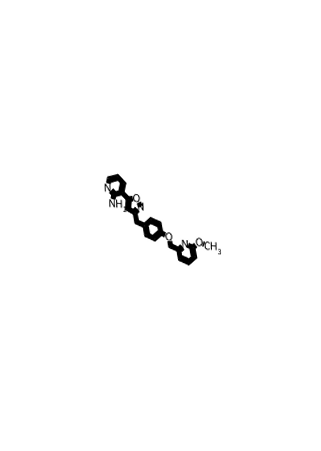 COc1cccc(COc2ccc(Cc3cc(-c4cccnc4N)on3)cc2)n1